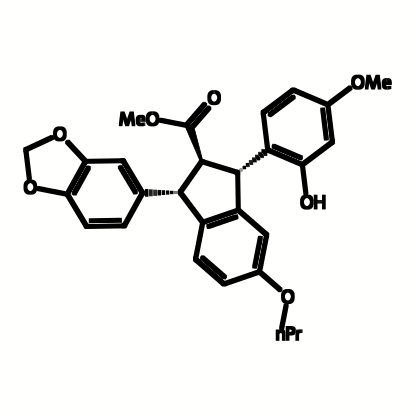 CCCOc1ccc2c(c1)[C@@H](c1ccc(OC)cc1O)[C@H](C(=O)OC)[C@H]2c1ccc2c(c1)OCO2